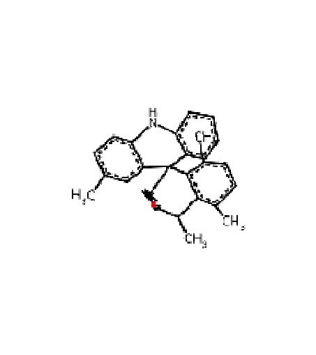 Cc1ccc2c(c1)C1(c3ccccc3N2)c2ccccc2C(C)c2c(C)ccc(C)c21